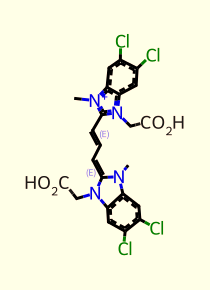 CN1/C(=C\C=C\c2n(CC(=O)O)c3cc(Cl)c(Cl)cc3[n+]2C)N(CC(=O)O)c2cc(Cl)c(Cl)cc21